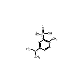 Cc1ccc(N(C)C)cc1P(=O)(O)O